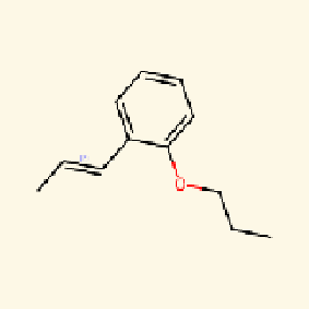 C/C=C/c1ccccc1OCCC